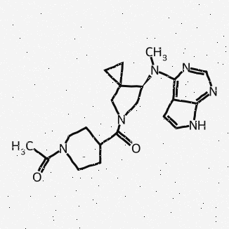 CC(=O)N1CCC(C(=O)N2C[C@H](N(C)c3ncnc4[nH]ccc34)C3(CC3)C2)CC1